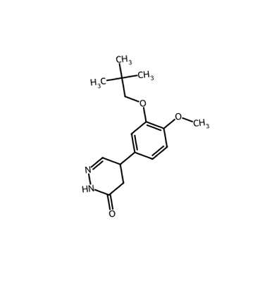 COc1ccc(C2C=NNC(=O)C2)cc1OCC(C)(C)C